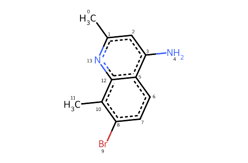 Cc1cc(N)c2ccc(Br)c(C)c2n1